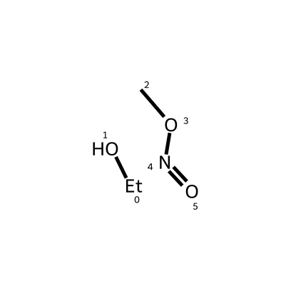 CCO.CON=O